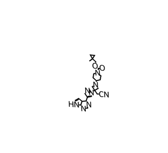 CC1(COC(=O)N2CCC(N3CC(CC#N)(n4cc(C5N=CN=C6NC=CC65)cn4)C3)CC2)CC1